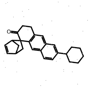 O=C1CCc2cc3cc(C4CCCCC4)ccc3cc2C12CC1C=CC2C1